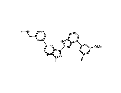 CCNCc1cccc(-c2cnc3[nH]nc(-c4cc5c(-c6cc(F)cc(OC)c6)cccc5[nH]4)c3c2)c1